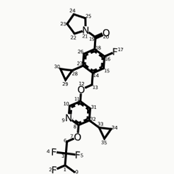 CC(F)C(F)(F)COc1ncc(OCc2cc(F)c(C(=O)N3CCCC3)cc2C2CC2)cc1C1CC1